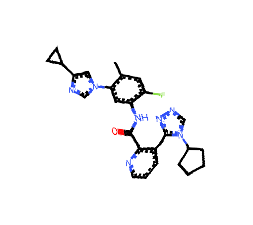 Cc1cc(F)c(NC(=O)c2ncccc2-c2nncn2C2CCCC2)cc1-n1cnc(C2CC2)c1